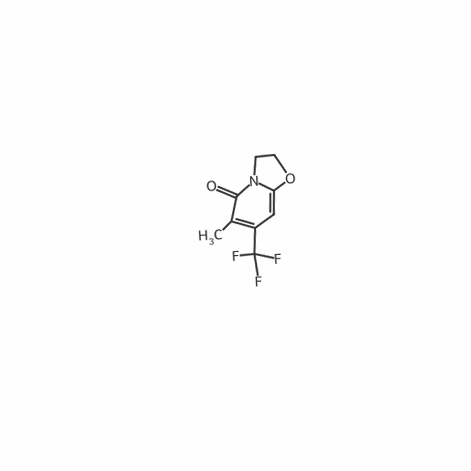 Cc1c(C(F)(F)F)cc2n(c1=O)CCO2